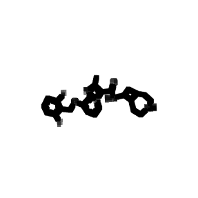 Cc1nc2c(OCc3c(F)cccc3F)cccn2c1C(=O)NC1CC2CCNCCC21